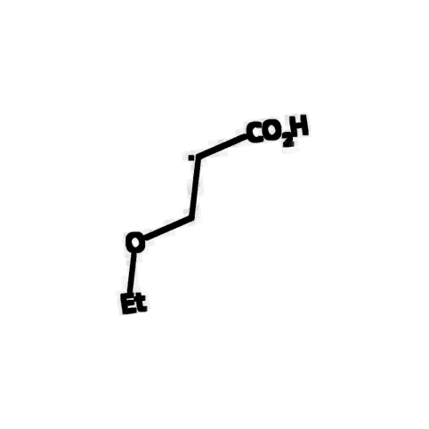 [CH2]COC[CH]C(=O)O